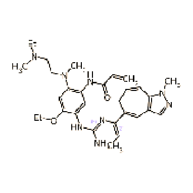 C=CC(=O)Nc1cc(N/C(N)=N/C(=C\C)C2=Cc3cnn(C)c3C=CC2)c(OCC)cc1N(C)CCN(C)CC